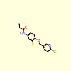 C=CC(=O)Nc1ccc(OCc2ccc(Cl)nc2)c(F)c1